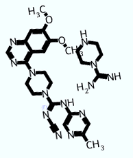 COc1cc2ncnc(N3CCN(/C(=N/C#N)Nc4cnc(C)cn4)CC3)c2cc1OC.N=C(N)N1CCNCC1